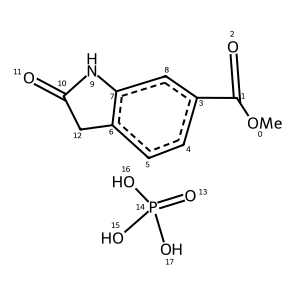 COC(=O)c1ccc2c(c1)NC(=O)C2.O=P(O)(O)O